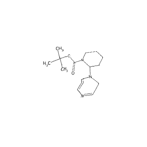 CC(C)(C)OC(=O)N1CCCCC1N1C=CN=CC1